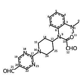 CN(C)c1ccccc1N(C(=O)C=O)C1CCN(c2ncc(C=O)cn2)CC1